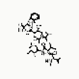 CC[C@H](C)[C@@H]([C@@H](CC(=O)N1C(C)[C@@H](C)C[C@H]1[C@H](OC)[C@@H](C)C(=O)N[C@@H](Cc1ccccc1F)C(=O)O)OC)N(C)C(=O)[C@@H](NC(=O)[C@@H](NC)C(C)C)C(C)C